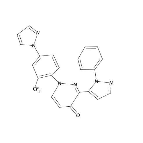 O=c1ccn(-c2ccc(-n3cccn3)cc2C(F)(F)F)nc1-c1ccnn1-c1ccccc1